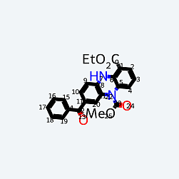 CCOC(=O)c1cccc2c1Nc1ccc(C(=O)c3ccccc3)cc1N2C(=O)OC